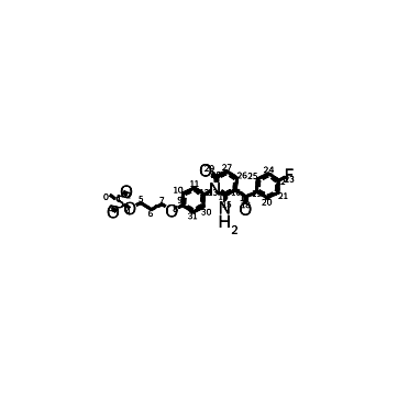 CS(=O)(=O)OCCCOc1ccc(-n2c(N)c(C(=O)c3ccc(F)cc3)ccc2=O)cc1